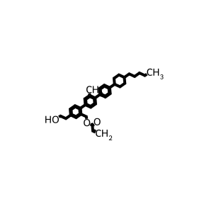 C=CC(=O)OCc1cc(CCO)ccc1-c1ccc(-c2ccc(C3CCC(CCCCC)CC3)cc2)c(C)c1